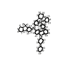 CC1(C)c2ccccc2-c2ccc(N(c3ccc4c(c3)[Si](c3ccccc3)(c3ccccc3)c3ccccc3-4)c3ccc4c(c3)c3ccccc3n4-c3ccc(-c4ccccc4)cc3)cc21